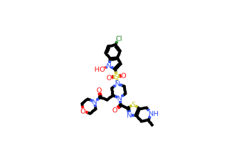 CC1Cc2nc(C(=O)N3CCN(S(=O)(=O)c4cc5cc(Cl)ccc5n4O)CC3CC(=O)N3CCOCC3)sc2CN1